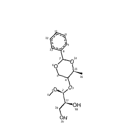 CO[C@@H](OC1COC(c2ccccc2)O[C@H]1C)[C@@H](O)CO